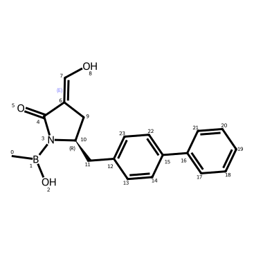 CB(O)N1C(=O)/C(=C/O)C[C@H]1Cc1ccc(-c2ccccc2)cc1